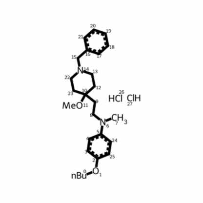 CCCCOc1ccc(N(C)CCC2(OC)CCN(Cc3ccccc3)CC2)cc1.Cl.Cl